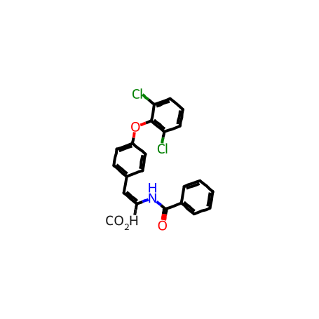 O=C(O)/C(=C/c1ccc(Oc2c(Cl)cccc2Cl)cc1)NC(=O)c1ccccc1